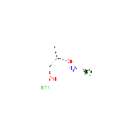 CC(O)CO.Cl.Cl.N.[NaH]